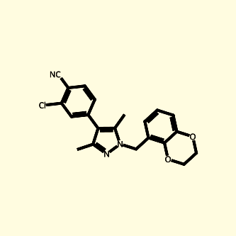 Cc1nn(Cc2cccc3c2OCCO3)c(C)c1-c1ccc(C#N)c(Cl)c1